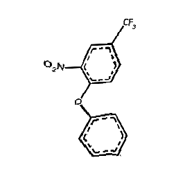 O=[N+]([O-])c1cc(C(F)(F)F)ccc1Oc1cc[c]cc1